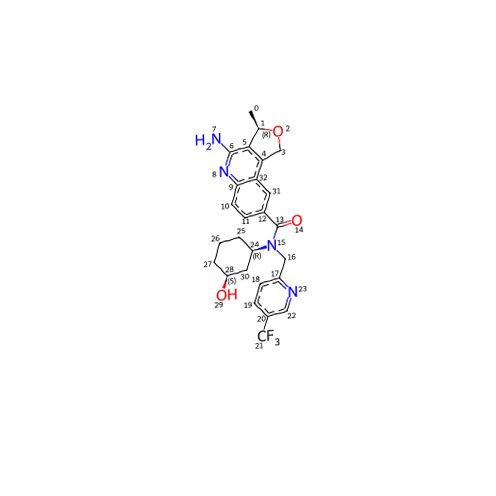 C[C@H]1OCc2c1c(N)nc1ccc(C(=O)N(Cc3ccc(C(F)(F)F)cn3)[C@@H]3CCC[C@H](O)C3)cc21